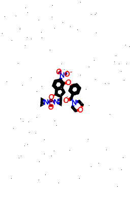 O=C(c1cccc(Oc2c([N+](=O)[O-])ccc3c2CC[C@H]3OP(=O)(N2CC2)N2CC2)c1)N1CCOCC1